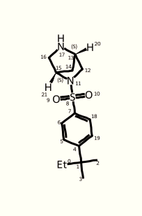 CCC(C)(C)c1ccc(S(=O)(=O)N2C[C@@H]3C[C@H]2CN3)cc1